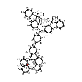 CC1(C)c2ccccc2-c2ccc(N(c3ccc(-c4ccc5c(c4)c4ccc6ccn(-c7ccccc7)c6c4n5-c4ccccc4)cc3)c3ccc4c(c3)C(C)(C)c3ccccc3-4)cc21